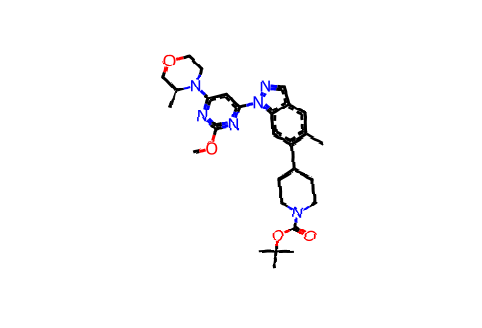 COc1nc(N2CCOC[C@@H]2C)cc(-n2ncc3cc(C)c(C4CCN(C(=O)OC(C)(C)C)CC4)cc32)n1